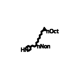 CCCCCCCCCC(CCCCCCCC1CC1CCCCCCCC)CCC1CCNCC1